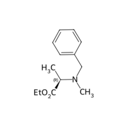 CCOC(=O)[C@@H](C)N(C)Cc1ccccc1